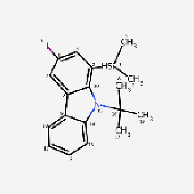 C[SiH](C)c1cc(I)cc2c3ccccc3n(C(C)(C)C)c12